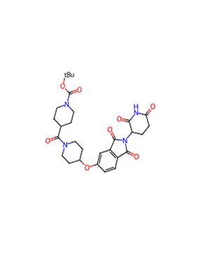 CC(C)(C)OC(=O)N1CCC(C(=O)N2CCC(Oc3ccc4c(c3)C(=O)N(C3CCC(=O)NC3=O)C4=O)CC2)CC1